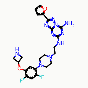 Nc1nc(NCCN2CCN(c3cc(OC4CNC4)c(F)cc3F)CC2)nc2nc(-c3ccco3)nn12